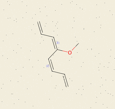 C=C/C=C\C(=C/C=C)OC